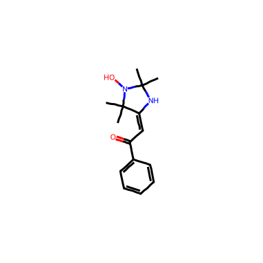 CC1(C)N/C(=C/C(=O)c2ccccc2)C(C)(C)N1O